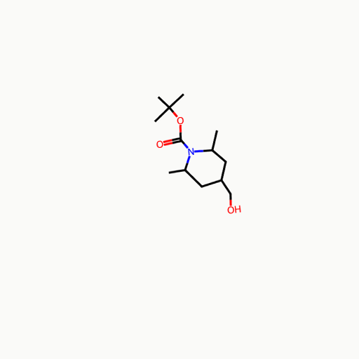 CC1CC(CO)CC(C)N1C(=O)OC(C)(C)C